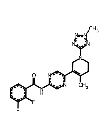 CC1=C(c2cnc(NC(=O)c3cccc(F)c3F)cn2)CN(c2nnn(C)n2)CC1